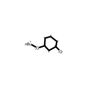 [CH2]CCCOC1CCCC([O])C1